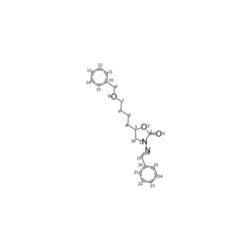 O=C1OC(CCCCOCc2ccccc2)CN1N=Cc1ccccc1